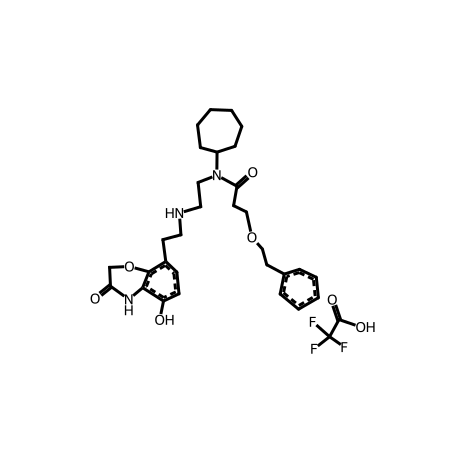 O=C(O)C(F)(F)F.O=C1COc2c(CCNCCN(C(=O)CCOCCc3ccccc3)C3CCCCCC3)ccc(O)c2N1